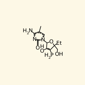 CC[C@]1(CO)OC(n2cc(C)c(N)nc2=O)C(O)=C1P